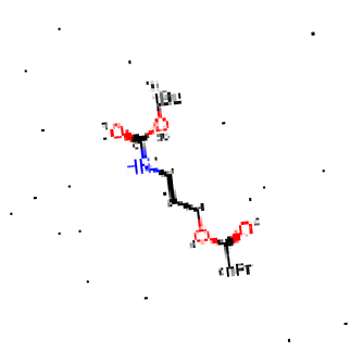 CCCC(=O)OCCCNC(=O)OC(C)(C)C